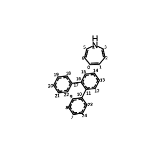 C1=CC=CNC=C1.c1ccc(-c2ccccc2-c2ccccc2)cc1